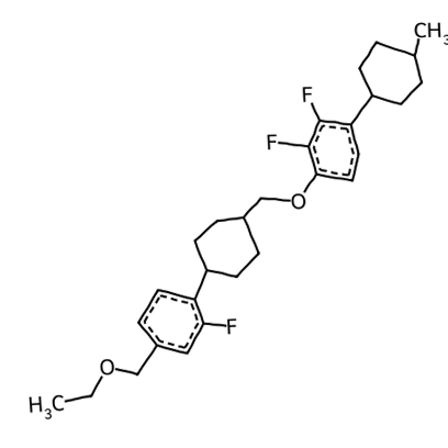 CCOCc1ccc(C2CCC(COc3ccc(C4CCC(C)CC4)c(F)c3F)CC2)c(F)c1